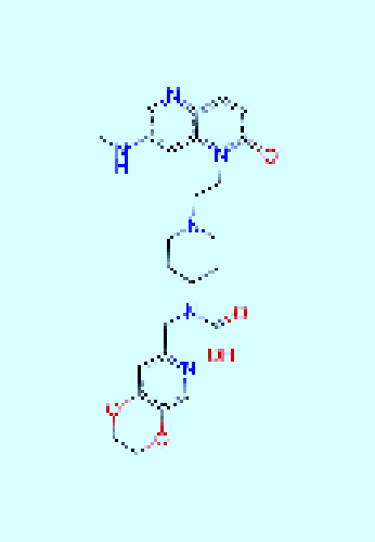 CNc1cnc2ccc(=O)n(CCN3CCC(N(Cc4cc5c(cn4)OCCO5)C(=O)O)CC3)c2c1